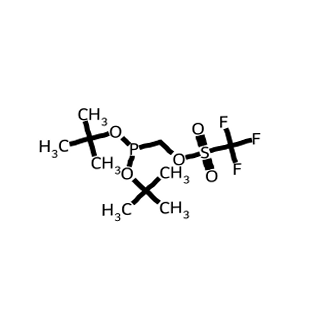 CC(C)(C)OP(COS(=O)(=O)C(F)(F)F)OC(C)(C)C